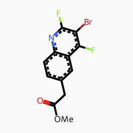 COC(=O)Cc1ccc2nc(F)c(Br)c(F)c2c1